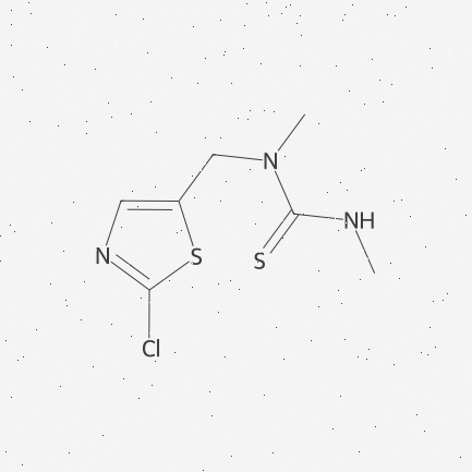 CNC(=S)N(C)Cc1cnc(Cl)s1